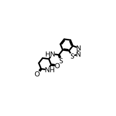 O=C1CCC(NC(=S)c2cccc3nnsc23)C(=O)N1